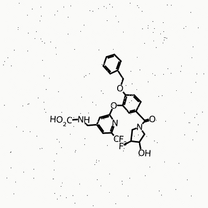 O=C(O)NCc1cc(Oc2cc(C(=O)N3CC(O)C(F)C3)ccc2OCc2ccccc2)nc(C(F)(F)F)c1